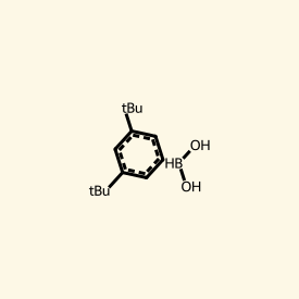 CC(C)(C)c1cccc(C(C)(C)C)c1.OBO